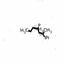 C=C/C=C(P)\C=C(/C)C(C)C